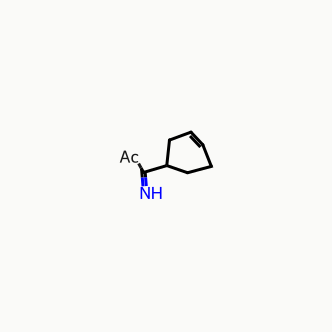 CC(=O)C(=N)C1CC=CCC1